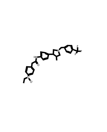 CC[S+]([O-])c1ccc(CC(=O)Nc2ccc(C3CN(Cc4ccc(C(F)(F)F)cc4)CC3C)cc2)cc1